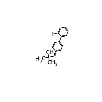 CC(C)(C)Cc1ccc(-c2ccccc2F)cc1